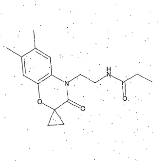 CCC(=O)NCCN1C(=O)C2(CC2)Oc2cc(C)c(C)cc21